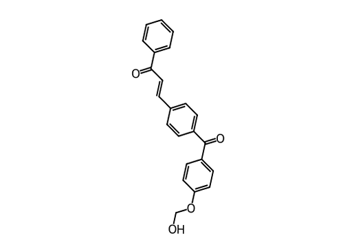 O=C(C=Cc1ccc(C(=O)c2ccc(OCO)cc2)cc1)c1ccccc1